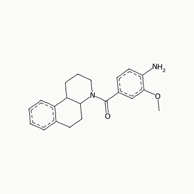 COc1cc(C(=O)N2CCCC3c4ccccc4CCC32)ccc1N